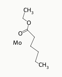 CCCCCC(=O)OCC.[Mo]